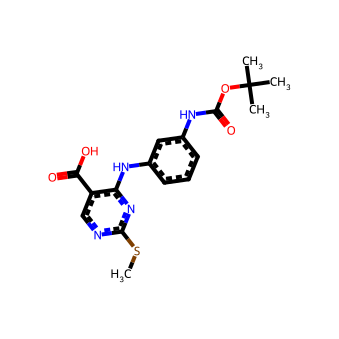 CSc1ncc(C(=O)O)c(Nc2cccc(NC(=O)OC(C)(C)C)c2)n1